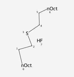 CCCCCCCCCCSCCCCCCCCCC.F